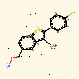 NOCc1ccc2sc(-c3ccc(F)cc3)c(C(=O)O)c2c1